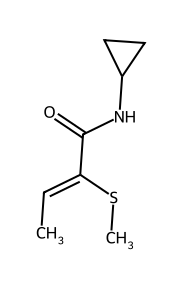 C/C=C(\SC)C(=O)NC1CC1